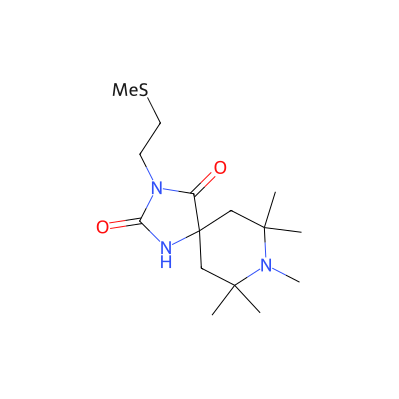 CSCCN1C(=O)NC2(CC(C)(C)N(C)C(C)(C)C2)C1=O